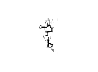 NC1CC(c2nnc([C@@H]3CC[C@@H]4CN3C(=O)N4OS(=O)(=O)O)o2)C1